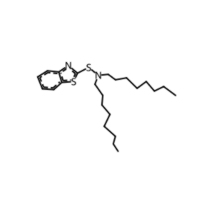 CCCCCCCCN(CCCCCCCC)Sc1nc2ccccc2s1